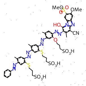 COc1cc2nc3c(C#N)c(C)c(N=Nc4cc(C)c(N=Nc5cc(C)c(N=Nc6cc(C)c(N=Nc7ccccc7)cc6SCCCS(=O)(=O)O)cc5SCCCS(=O)(=O)O)cc4OCCCS(=O)(=O)O)c(O)n3c2cc1S(=O)(=O)OC